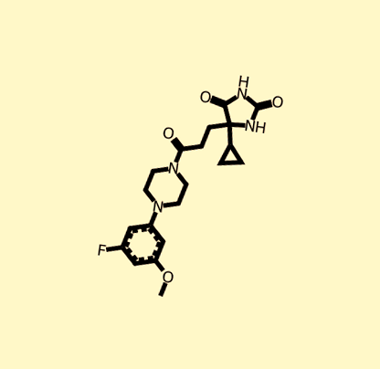 COc1cc(F)cc(N2CCN(C(=O)CCC3(C4CC4)NC(=O)NC3=O)CC2)c1